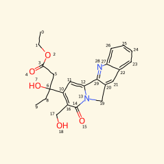 CCOC(=O)CC(O)(CC)c1cc2n(c(=O)c1CO)Cc1cc3ccccc3nc1-2